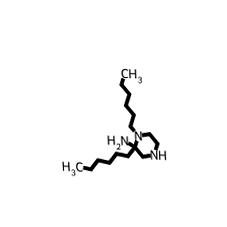 CCCCCCN1CCNCC1(N)CCCCCC